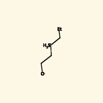 CCC[SiH2]CC[O]